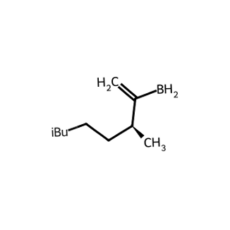 BC(=C)[C@@H](C)CCC(C)CC